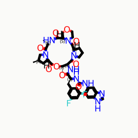 C[C@@H]1C[C@H]2C(=O)O[C@@H](C)[C@H](NC(=O)[C@H](Cc3cc(F)cc(F)c3)NC(=O)Nc3ccc4[nH]cnc4c3)C(=O)N3CCC[C@H]3C(=O)N3CCOC[C@H]3C(=O)N[C@@H](C)C(=O)N2C1